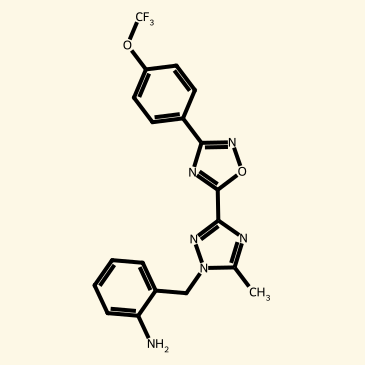 Cc1nc(-c2nc(-c3ccc(OC(F)(F)F)cc3)no2)nn1Cc1ccccc1N